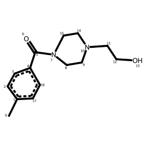 Cc1ccc(C(=O)N2CCN(CCO)CC2)cc1